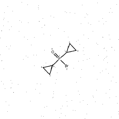 O=P(Br)(C1CC1)C1CC1